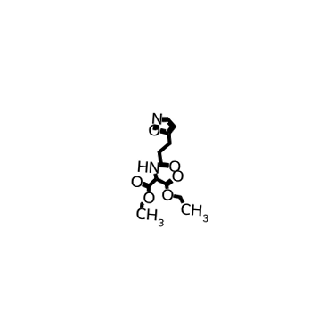 CCOC(=O)C(NC(=O)CCc1ccno1)C(=O)OCC